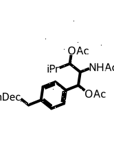 CCCCCCCCCCCc1ccc(C(OC(C)=O)C(NC(C)=O)C(OC(C)=O)C(C)C)cc1